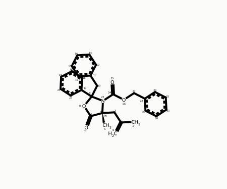 C=C(C)C[C@]1(C)C(=O)OC(Cc2ccccc2)(c2ccccc2)N1C(=O)OCc1ccccc1